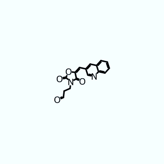 O=CCCN1C(=O)O/C(=C/c2cnc3ccccc3c2)C1=O